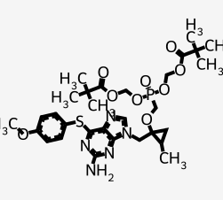 COc1ccc(Sc2nc(N)nc3c2ncn3CC2(OCP(=O)(OCOC(=O)C(C)(C)C)OCOC(=O)C(C)(C)C)CC2C)cc1